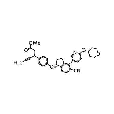 CC#CC(CC(=O)OC)c1ccc(O[C@@H]2CCc3c2ccc(C#N)c3-c2ccc(OC3CCOCC3)nc2)cc1